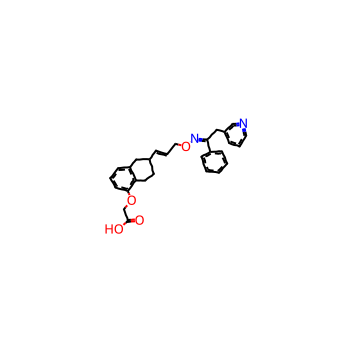 O=C(O)COc1cccc2c1CCC(C=CCON=C(Cc1cccnc1)c1ccccc1)C2